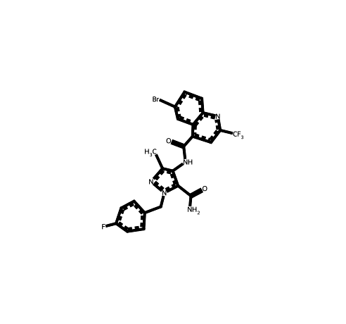 Cc1nn(Cc2ccc(F)cc2)c(C(N)=O)c1NC(=O)c1cc(C(F)(F)F)nc2ccc(Br)cc12